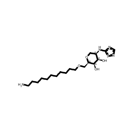 NCCCCCCCCCCCOC[C@H]1OC[C@@H](Nc2ncns2)[C@@H](O)[C@H]1O